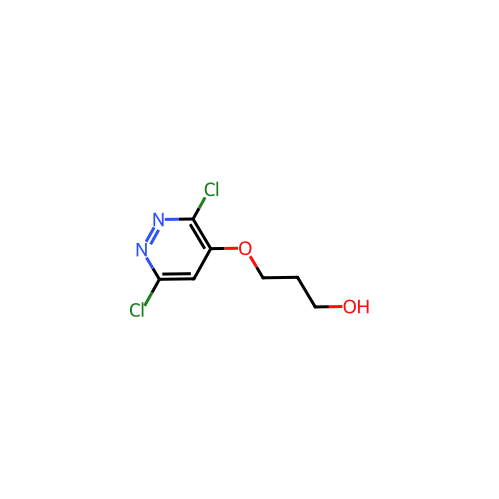 OCCCOc1cc(Cl)nnc1Cl